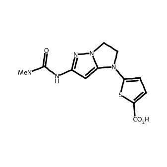 CNC(=O)Nc1cc2n(n1)CCN2c1ccc(C(=O)O)s1